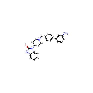 Nc1cc[c]c(-c2ccc(CN3CCC(n4c(=O)[nH]c5ccccc54)CC3)cc2)c1